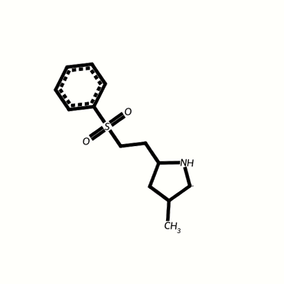 CC1[CH]NC(CCS(=O)(=O)c2ccccc2)C1